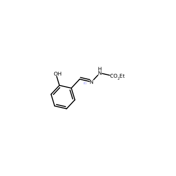 CCOC(=O)N/N=C/c1ccccc1O